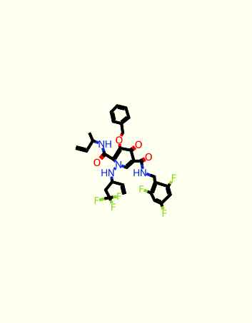 C=CC(C)NC(=O)c1c(OCc2ccccc2)c(=O)c(C(=O)NCc2c(F)cc(F)cc2F)cn1NC(C=C)CC(F)(F)F